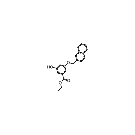 CCOC(=O)c1cc(O)cc(OCc2ccc3ccccc3c2)c1